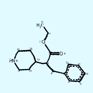 CCOC(=O)C(Cc1ccccc1)C1CCNCC1